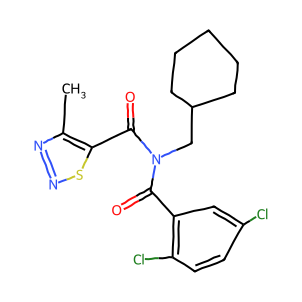 Cc1nnsc1C(=O)N(CC1CCCCC1)C(=O)c1cc(Cl)ccc1Cl